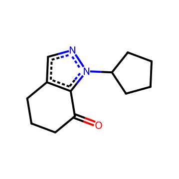 O=C1CCCc2cnn(C3CCCC3)c21